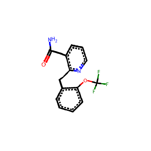 NC(=O)c1cccnc1Cc1ccccc1OC(F)(F)F